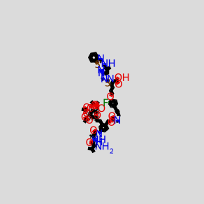 COC(=O)[C@H]1O[C@@H](CCc2cc(NC(=O)[C@H](C)NC(=O)[C@@H](N)C(C)C)ccc2COC(=O)N(C)CC#Cc2ccc(OCCCc3sc(N(C)c4cc(C)c(Nc5nc6ccccc6s5)nn4)nc3C(=O)O)c(F)c2)[C@H](OC(C)=O)[C@@H](OC(C)=O)[C@@H]1OC(C)=O